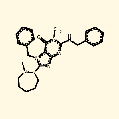 Cn1c(NCc2ccccc2)nc2nc(N3CCCCCN3I)n(Cc3ccccc3)c2c1=O